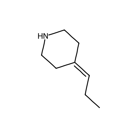 CCC=C1CCNCC1